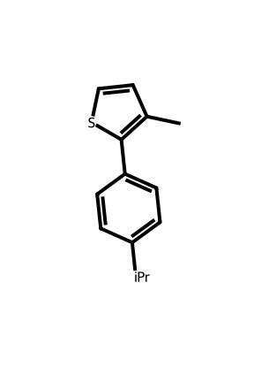 Cc1ccsc1-c1ccc(C(C)C)cc1